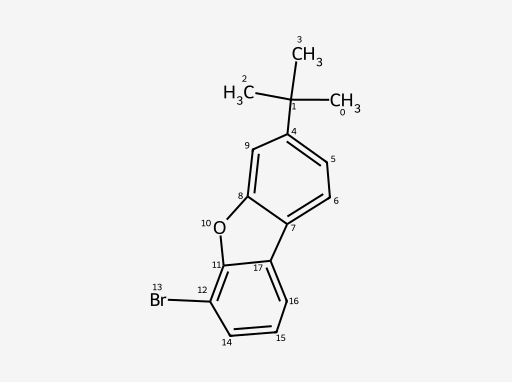 CC(C)(C)c1ccc2c(c1)oc1c(Br)cccc12